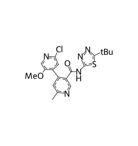 COc1cnc(Cl)cc1-c1cc(C)ncc1C(=O)Nc1nnc(C(C)(C)C)s1